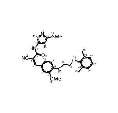 COc1cc(C=C(C#N)C(=O)Nc2nnc(SC)s2)ccc1OCCOc1c(C)cccc1C